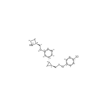 Clc1ccc(OCC[C@H]2C[C@@H]2c2cncc(OC[C@@H]3CCN3)c2)cc1